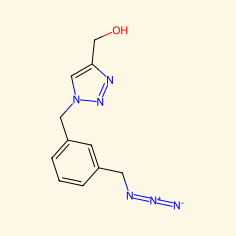 [N-]=[N+]=NCc1cccc(Cn2cc(CO)nn2)c1